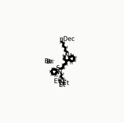 CCCCCCCCCCCCCCCC[n+]1ccc(C=CC=C2Sc3ccccc3N2CCC[N+](CC)(CC)CC)c2ccccc21.[Br-].[Br-]